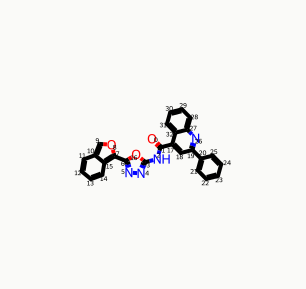 O=C(Nc1nnc(-c2occ3ccccc23)o1)c1cc(-c2ccccc2)nc2ccccc12